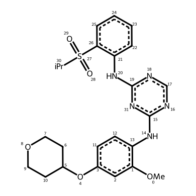 COc1cc(OC2CCOCC2)ccc1Nc1ncnc(Nc2ccccc2S(=O)(=O)C(C)C)n1